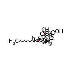 CCCCCCCCCCCCCCCCC1CC2=CCCC(C3(C4CCC(O)CC4)CCCCC3)C2C1C1(C)c2cc(C)ccc2C(C)(C(C)C)C1C